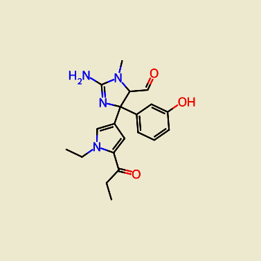 CCC(=O)c1cc(C2(c3cccc(O)c3)N=C(N)N(C)C2C=O)cn1CC